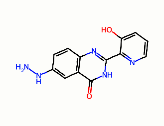 NNc1ccc2nc(-c3ncccc3O)[nH]c(=O)c2c1